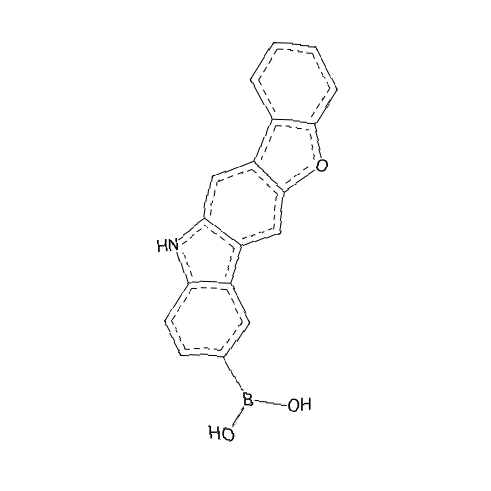 OB(O)c1ccc2[nH]c3cc4c(cc3c2c1)oc1ccccc14